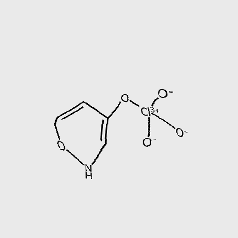 [O-][Cl+3]([O-])([O-])OC1=CNOC=C1